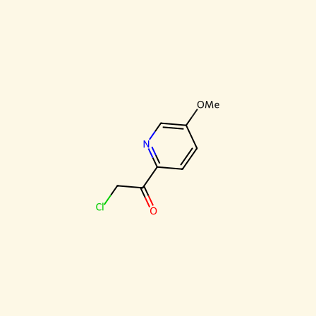 COc1ccc(C(=O)CCl)nc1